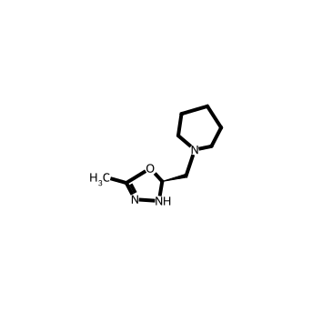 CC1=NN[C@H](CN2CCCCC2)O1